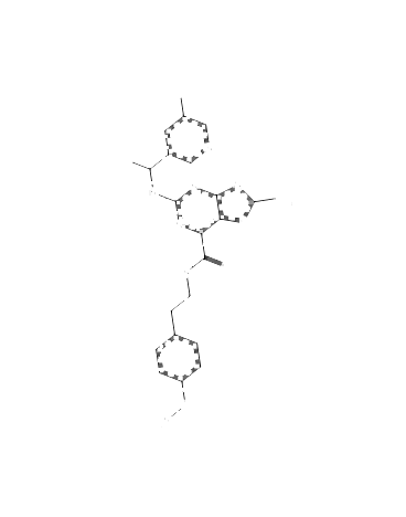 Cc1nc2nc(NC(C)c3cncc(F)c3)nc(C(=O)NCCc3ccc(SN)cc3)c2s1